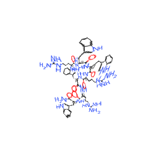 N=C(N)NCCC[C@H](NC(=O)[C@H](Cc1c[nH]c2ccccc12)NC(=O)[C@H](CCCNC(=N)N)NC(=O)[C@H](Cc1c[nH]c2ccccc12)NC(=O)[C@H](Cc1c[nH]c2ccccc12)NC(=O)[C@@H](N)CCCNC(=N)N)C(=O)N[C@@H](Cc1c[nH]c2ccccc12)C(N)=O